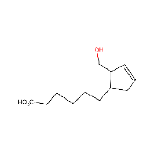 O=C(O)CCCCCC1CC=CC1CO